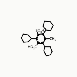 Cc1c(C2CCCCC2)c(C(=O)O)c(C2CCCCC2)c(S(=O)(=O)O)c1C1CCCCC1